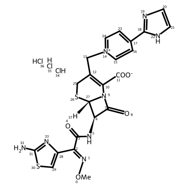 CON=C(C(=O)N[C@@H]1C(=O)N2C(C(=O)[O-])=C(C[n+]3ccc(-c4ncc[nH]4)cc3)CS[C@@H]12)c1csc(N)n1.Cl.Cl.Cl